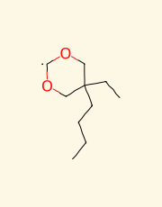 CCCCC1(CC)CO[CH]OC1